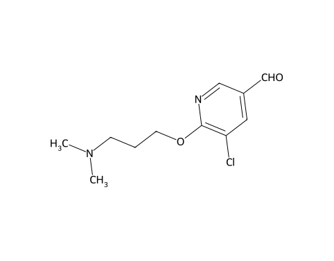 CN(C)CCCOc1ncc(C=O)cc1Cl